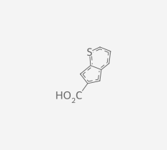 O=C(O)c1cc2cccsc-2c1